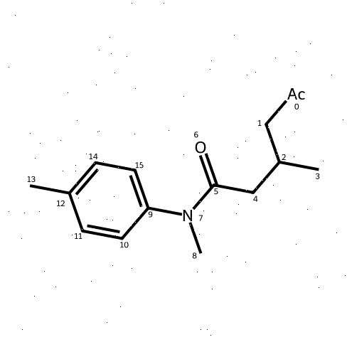 CC(=O)CC(C)CC(=O)N(C)c1ccc(C)cc1